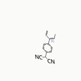 C=C/C(=C\C)c1ccc(C(C#N)C#N)cc1